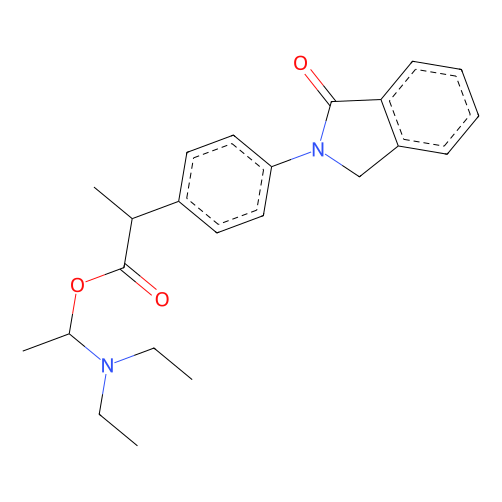 CCN(CC)C(C)OC(=O)C(C)c1ccc(N2Cc3ccccc3C2=O)cc1